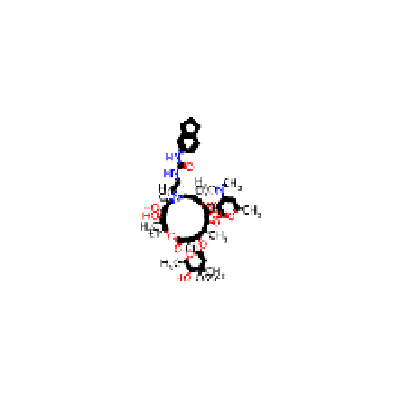 CC[C@H]1OC(=O)[C@H](C)[C@H](O[C@@H]2C[C@@](C)(OC)[C@@H](O)[C@H](C)O2)[C@@H](C)[C@H](O[C@@H]2O[C@H](C)C[C@H](N(C)C)[C@H]2O)[C@](C)(O)C[C@@H](C)CN(CCNC(=O)Nc2ccc3c(c2)CCC3)[C@H](C)[C@@H](O)[C@]1(C)O